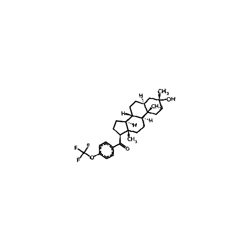 C[C@@]1(O)CC[C@@]2(C)[C@@H](CC[C@@H]3[C@@H]2CC[C@]2(C)[C@@H](C(=O)c4ccc(OC(F)(F)F)cc4)CC[C@@H]32)C1